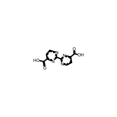 O=C(O)c1ccnc(-c2nccc(C(=O)O)n2)n1